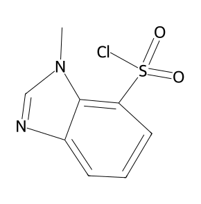 Cn1cnc2cccc(S(=O)(=O)Cl)c21